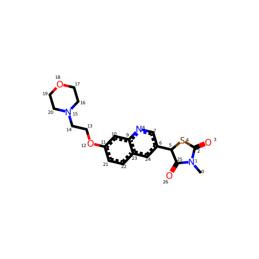 CN1C(=O)SC(c2cnc3cc(OCCN4CCOCC4)ccc3c2)C1=O